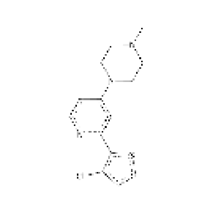 CN1CCN(c2ccnc(-c3sccc3Cl)c2)CC1